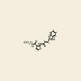 CCOC(=O)NC(=O)c1ccsc1NC(=O)/C=C/C1Nc2ccccc2S1